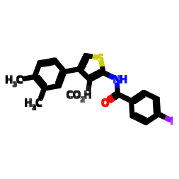 Cc1ccc(-c2csc(NC(=O)c3ccc(I)cc3)c2C(=O)O)cc1C